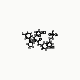 Cc1ccc(C(NC(=O)Cc2ccc3[nH]cc(CCS(C)(=O)=O)c3c2)c2ccc(Cl)o2)c(N2CCCC2)c1